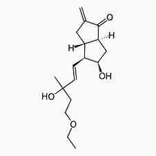 C=C1C[C@H]2[C@H](/C=C/C(C)(O)CCOCC)[C@H](O)C[C@@H]2C1=O